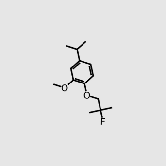 COc1cc(C(C)C)ccc1OCC(C)(C)F